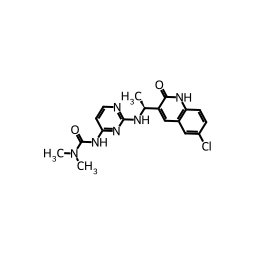 C[C@H](Nc1nccc(NC(=O)N(C)C)n1)c1cc2cc(Cl)ccc2[nH]c1=O